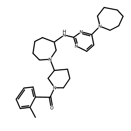 Cc1ccccc1C(=O)N1CCCC(N2CCCCC(Nc3nccc(N4CCCCCC4)n3)C2)C1